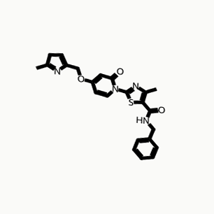 CC1=NC(COc2ccn(-c3nc(C)c(C(=O)NCc4ccccc4)s3)c(=O)c2)=CC1